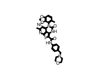 Cc1ccc2c(c1N1C(=O)Nc3c(C(=O)Nc4ccc(CN5CCOCC5)cc4)sc4nc(C)c(C#N)c1c34)OCO2